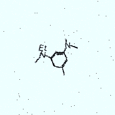 CCN(C)C1C=C(N(C)C)C=C(C)C1